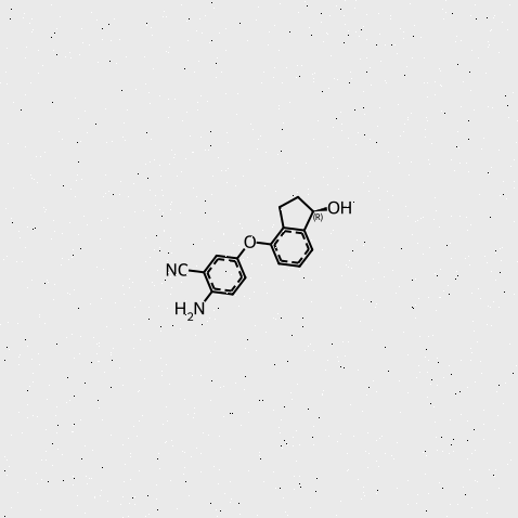 N#Cc1cc(Oc2cccc3c2CC[C@H]3O)ccc1N